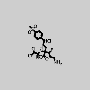 CS(=O)(=O)c1ccc(CCC[C@](NC(=O)C(Cl)Cl)(C(=O)O)C(F)CCN)cc1.Cl